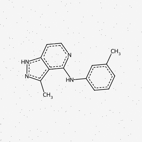 Cc1cccc(Nc2nccc3[nH]nc(C)c23)c1